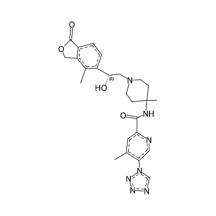 Cc1cc(C(=O)NC2(C)CCN(C[C@H](O)c3ccc4c(c3C)COC4=O)CC2)ncc1-n1cnnn1